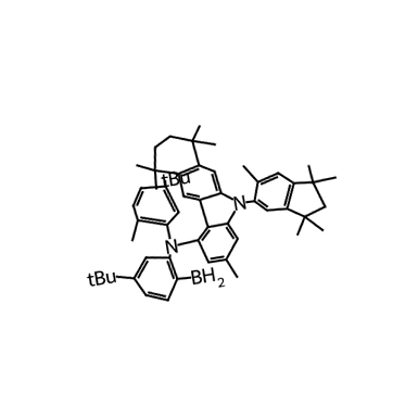 Bc1ccc(C(C)(C)C)cc1N(c1cc(C(C)(C)C)ccc1C)c1cc(C)cc2c1c1cc3c(cc1n2-c1cc2c(cc1C)C(C)(C)CC2(C)C)C(C)(C)CCC3(C)C